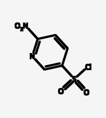 O=[N+]([O-])c1ccc(S(=O)(=O)Cl)cn1